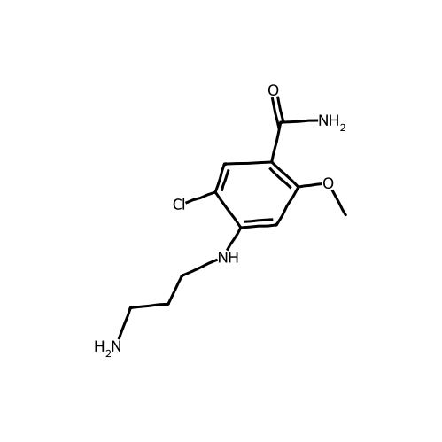 COc1cc(NCCCN)c(Cl)cc1C(N)=O